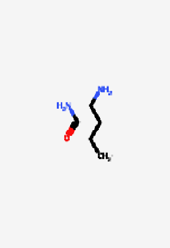 N[C]=O.[CH2]CCCN